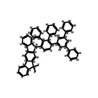 CC1(C)c2ccccc2-c2cc3c4ccccc4n(-c4ccc(-c5nc(-c6ccccc6)nc(-c6ccccc6)n5)c(-c5ccccc5)c4-c4ccccc4)c3cc21